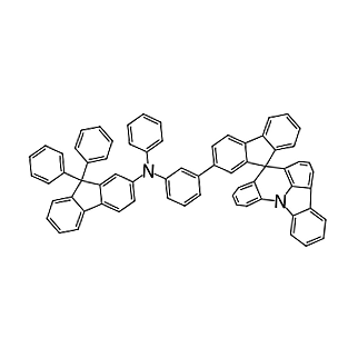 c1ccc(N(c2cccc(-c3ccc4c(c3)C3(c5ccccc5-4)c4ccccc4-n4c5ccccc5c5cccc3c54)c2)c2ccc3c(c2)C(c2ccccc2)(c2ccccc2)c2ccccc2-3)cc1